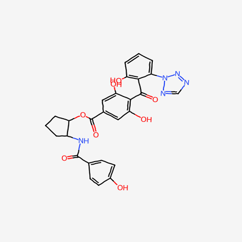 O=C(NC1CCCC1OC(=O)c1cc(O)c(C(=O)c2c(O)cccc2-n2ncnn2)c(O)c1)c1ccc(O)cc1